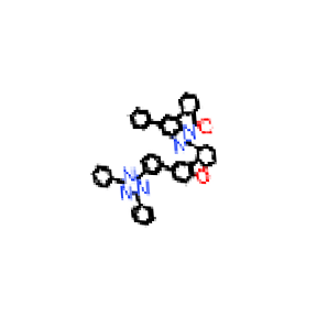 O=c1c2ccccc2c2cc(-c3ccccc3)cc3nc(-c4cccc5oc6ccc(-c7cccc(-c8nc(-c9ccccc9)nc(-c9ccccc9)n8)c7)cc6c45)n1c32